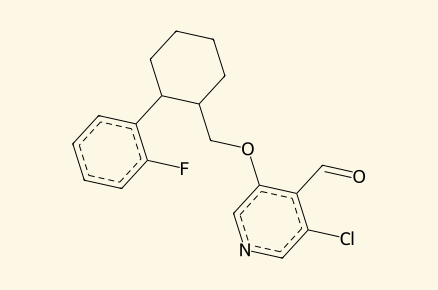 O=Cc1c(Cl)cncc1OCC1CCCCC1c1ccccc1F